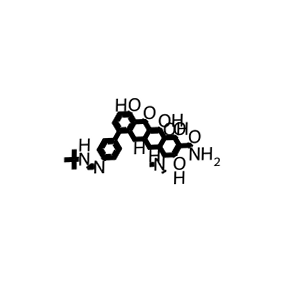 CN(C)[C@H]1C(O)=C(C(N)=O)C(=O)[C@@]2(O)C(O)=C3C(=O)c4c(O)ccc(-c5ccc(/N=C\NC(C)(C)C)cc5)c4C[C@@H]3C[C@H]12